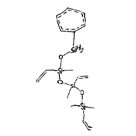 C=C[Si](C)(C)O[Si](C)(C=C)O[Si](C)(C=C)O[SiH2]c1ccccc1